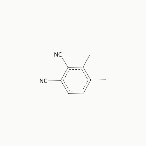 Cc1ccc(C#N)c(C#N)c1C